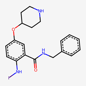 O=C(NCc1ccccc1)c1cc(OC2CCNCC2)ccc1NI